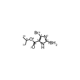 Bc1nc(Br)c(C(=O)OC(C)C)[nH]1